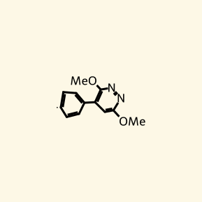 COc1cc(-c2cc[c]cc2)c(OC)nn1